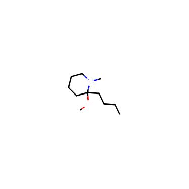 CCCCC1(OC)CCCCN1C